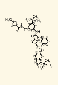 CN1CC(C(=O)NCc2nc(NC(=O)N[C@@]3(C=O)C=C[C@@H](Oc4ccc5nnc(C(C)(C)C)n5c4)c4ccccc43)cc(C(C)(C)C)n2)C1